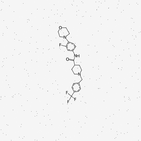 O=C(Nc1ccc(N2CCOCC2)c(F)c1)C1CCN(Cc2ccc(C(F)(F)F)cc2)CC1